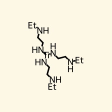 CCNCC[NH][Ti]([NH]CCNCC)[NH]CCNCC